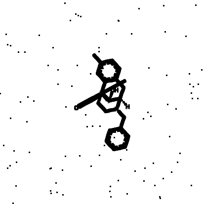 Cc1ccc2c(c1)[C@]13CCN(Cc4ccccc4)[C@H](C2)[C@]1(O)CCC(=O)C3